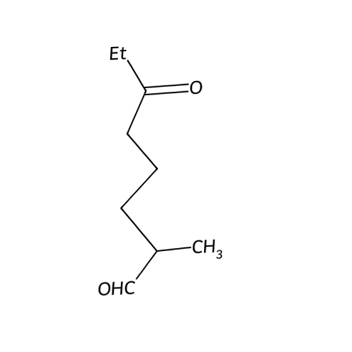 CCC(=O)CCCC(C)C=O